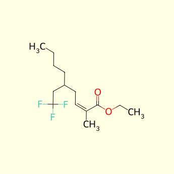 CCCCC(CC=C(C)C(=O)OCC)CC(F)(F)F